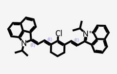 CC(C)n1/c(=C/C=C2\CCCC(/C=C/C3=[N+](C(C)C)c4cccc5cccc3c45)=C2Cl)c2cccc3cccc1c32